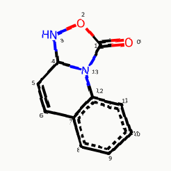 O=C1ONC2C=Cc3ccccc3N12